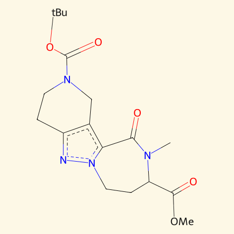 COC(=O)C1CCn2nc3c(c2C(=O)N1C)CN(C(=O)OC(C)(C)C)CC3